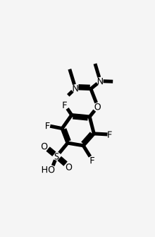 CN(C)C(Oc1c(F)c(F)c(S(=O)(=O)O)c(F)c1F)=[N+](C)C